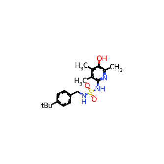 Cc1nc(NS(=O)(=O)NCc2ccc(C(C)(C)C)cc2)c(C)c(C)c1O